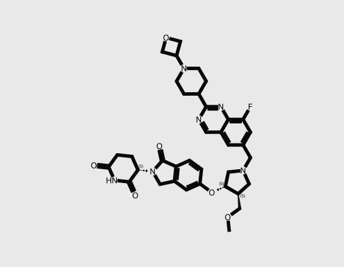 COC[C@@H]1CN(Cc2cc(F)c3nc(C4CCN(C5COC5)CC4)ncc3c2)C[C@H]1Oc1ccc2c(c1)CN([C@H]1CCC(=O)NC1=O)C2=O